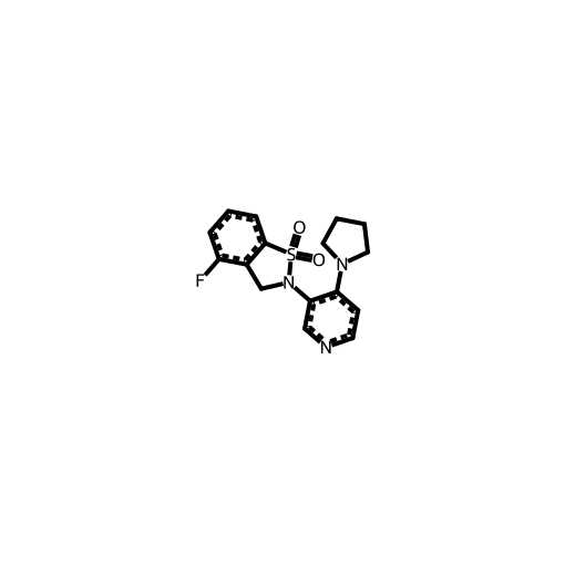 O=S1(=O)c2cccc(F)c2CN1c1cnccc1N1CCCC1